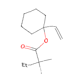 C=CC1(OC(=O)C(C)(C)CC)CCCCC1